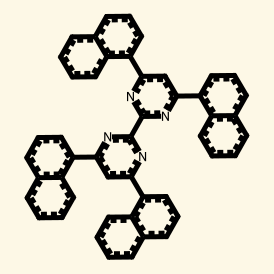 c1ccc2c(-c3cc(-c4cccc5ccccc45)nc(-c4nc(-c5cccc6ccccc56)cc(-c5cccc6ccccc56)n4)n3)cccc2c1